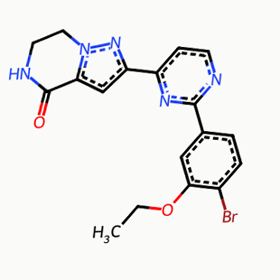 CCOc1cc(-c2nccc(-c3cc4n(n3)CCNC4=O)n2)ccc1Br